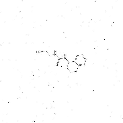 OCCNC(=S)NC1CCCc2ccccc21